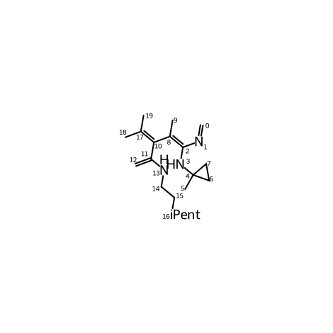 C=N/C(NC1(C)CC1)=C(\C)C(C(=C)NCCC(C)CCC)=C(C)C